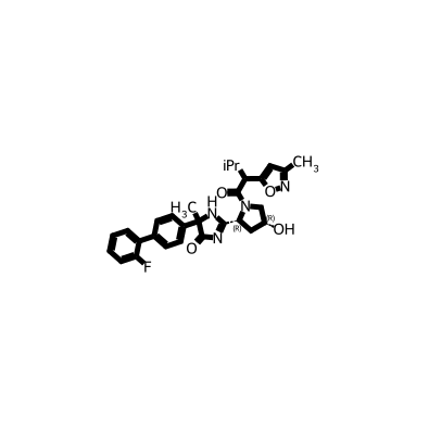 Cc1cc(C(C(=O)N2C[C@H](O)C[C@@H]2C2=NC(=O)C(C)(c3ccc(-c4ccccc4F)cc3)N2)C(C)C)on1